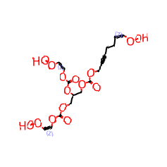 O=C(O/C=C\OO)OCC(COC(=O)OCC#CCC/C=C\OO)OC(=O)O/C=C\OO